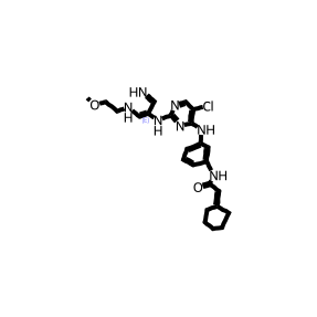 COCCN/C=C(\C=N)Nc1ncc(Cl)c(Nc2cccc(NC(=O)C=C3CCCCC3)c2)n1